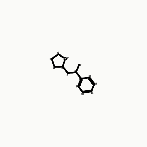 CC(CC1CCCO1)c1ccccc1